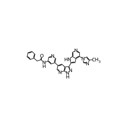 Cc1cn(-c2cncc3[nH]c(-c4n[nH]c5ncc(-c6cncc(NC(=O)Cc7ccccc7)c6)cc45)cc23)cn1